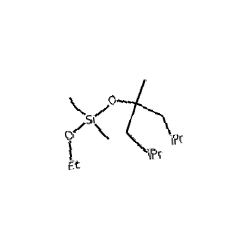 CCO[Si](C)(C)OC(C)(CC(C)C)CC(C)C